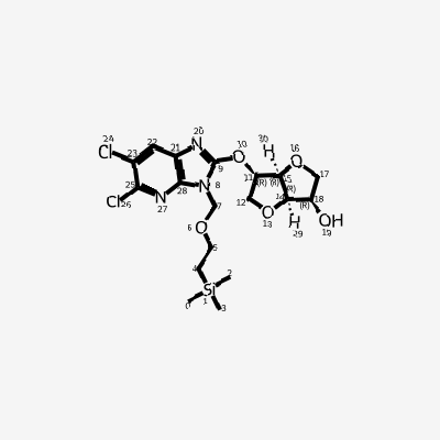 C[Si](C)(C)CCOCn1c(O[C@@H]2CO[C@H]3[C@@H]2OC[C@H]3O)nc2cc(Cl)c(Cl)nc21